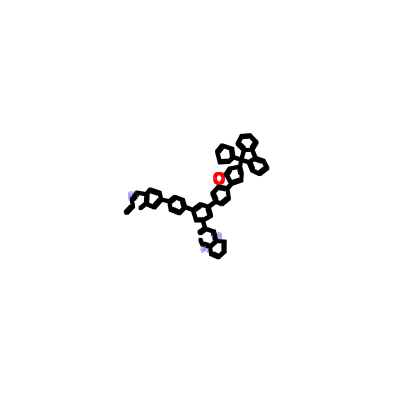 C=C/C=C\c1ccc(-c2ccc(-c3cc(C(=C)/C=c4/cccc/c4=C/C)cc(-c4ccc5c(c4)oc4cc(C6(c7ccccc7)c7ccccc7-c7ccccc76)ccc45)c3)cc2)cc1C